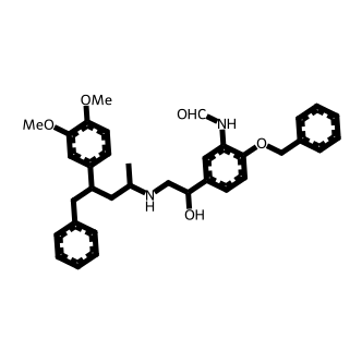 COc1ccc(C(Cc2ccccc2)CC(C)NCC(O)c2ccc(OCc3ccccc3)c(NC=O)c2)cc1OC